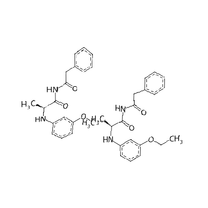 CCOc1cccc(N[C@@H](C)C(=O)NC(=O)Cc2ccccc2)c1.COc1cccc(N[C@@H](C)C(=O)NC(=O)Cc2ccccc2)c1